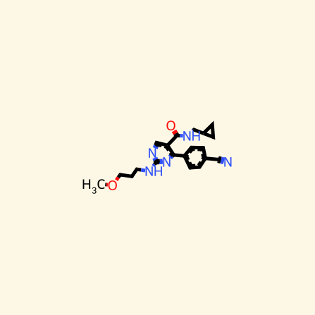 COCCCNc1ncc(C(=O)NCC2CC2)c(-c2ccc(C#N)cc2)n1